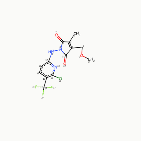 COCC1=C(C)C(=O)N(Nc2ccc(C(F)(F)F)c(Cl)n2)C1=O